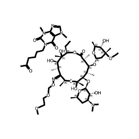 CC(=O)CCCCn1c(=O)c2c(ncn2C)n(C)c1=O.CC[C@H]1OC(=O)[C@H](C)[C@@H](O[C@H]2C[C@@](C)(OC)[C@@H](O)[C@H](C)O2)[C@H](C)[C@@H](O[C@@H]2O[C@H](C)C[C@H](N(C)C)[C@H]2O)[C@](C)(O)C[C@@H](C)/C(=N\OCOCCOC)[C@H](C)[C@@H](O)[C@]1(C)O